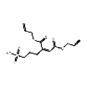 C=CCOC(=O)/C=C(/CCCS(=O)(=O)O)C(=O)OCC=C